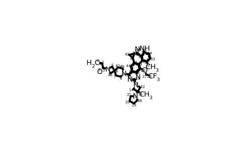 C=CC(=O)N1CC2(CCN(c3nc(N4CC(C)(N5CCCC5)C4)nc4c(OCC(F)(F)F)c(-c5c(C)ccc6[nH]ncc56)c(C5CC5)cc34)CC2)C1